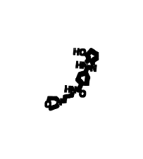 O=C(NCCCN1CCOCC1)c1ccc(-c2nc3cccc(O)c3[nH]2)cc1